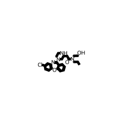 CCCN(CCO)C(=O)CC1CN(C2=Nc3cc(Cl)ccc3Oc3ccccc32)CCN1